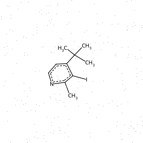 Cc1nccc(C(C)(C)C)c1I